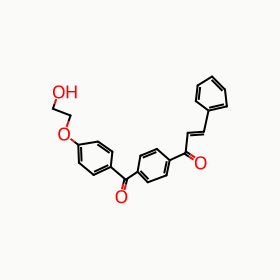 O=C(C=Cc1ccccc1)c1ccc(C(=O)c2ccc(OCCO)cc2)cc1